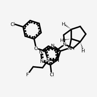 FCCn1nc(N[C@H]2[C@@H]3CC[C@H]2CN(c2cnnc(Cl)c2)C3)nc1Oc1cccc(Cl)c1